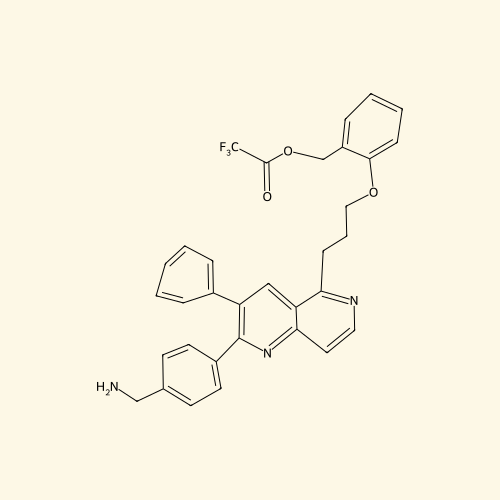 NCc1ccc(-c2nc3ccnc(CCCOc4ccccc4COC(=O)C(F)(F)F)c3cc2-c2ccccc2)cc1